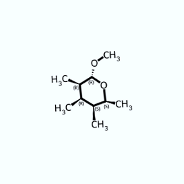 CO[C@@H]1O[C@@H](C)[C@@H](C)[C@@H](C)[C@H]1C